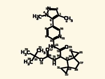 Cc1cnn(C)c1-c1ccc(NC(=O)C(NC(=O)OC(C)(C)C)C2C3(CC3)CCC23CC3)nc1